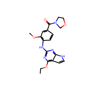 CCOc1nc(Nc2ccc(C(=O)N3CCOC3)cc2OC)nc2[nH]ccc12